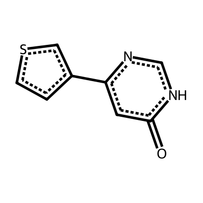 O=c1cc(-c2ccsc2)nc[nH]1